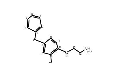 Cc1cc(Cc2ccccc2)ccc1OCCN